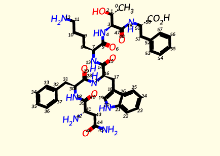 C[C@@H](O)[C@H](NC(=O)[C@H](CCCCN)NC(=O)[C@@H](Cc1c[nH]c2ccccc12)NC(=O)[C@H](Cc1ccccc1)NC(=O)[C@@H](N)CC(N)=O)C(=O)N[C@@H](Cc1ccccc1)C(=O)O